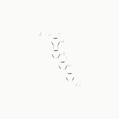 CCCCCc1cc2c(c(F)c1F)-c1c-2ccc(-c2ccc(-c3ccc(CCC)cc3)c(F)c2F)c1F